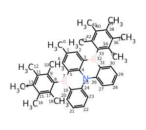 Cc1cc2c3c(c1)B(c1c(C)c(C)c(C)c(C)c1C)c1ccccc1N3c1ccccc1B2c1c(C)c(C)c(C)c(C)c1C